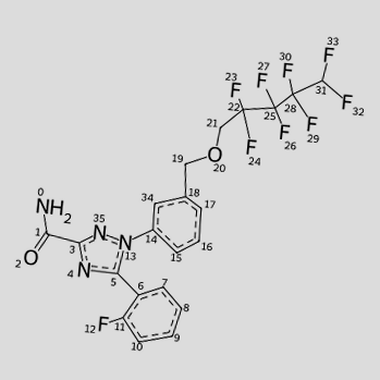 NC(=O)c1nc(-c2ccccc2F)n(-c2cccc(COCC(F)(F)C(F)(F)C(F)(F)C(F)F)c2)n1